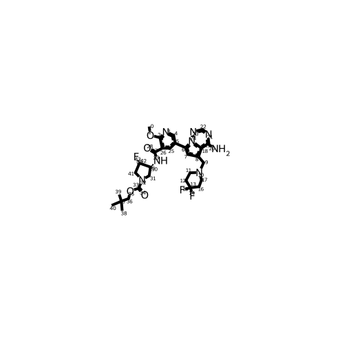 COc1ncc(-c2cc(CN3CCC(F)(F)CC3)c3c(N)ncnn23)cc1C(=O)N[C@@H]1CN(C(=O)OCC(C)(C)C)C[C@@H]1F